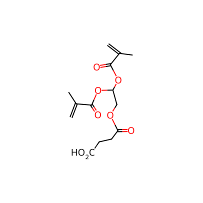 C=C(C)C(=O)OC(COC(=O)CCC(=O)O)OC(=O)C(=C)C